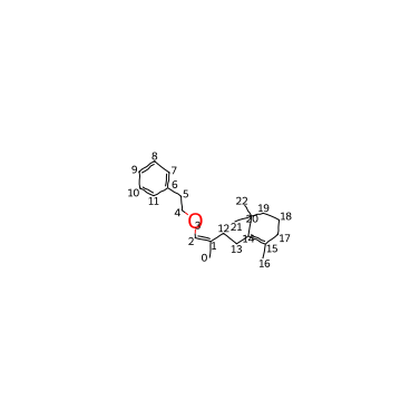 CC(=COCCc1ccccc1)CCC1=C(C)CCCC1(C)C